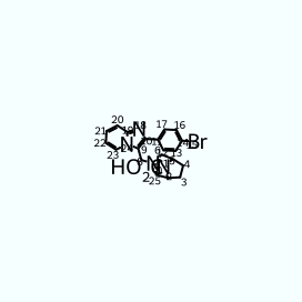 O=C(O)N1C2CCC1CN(Cc1c(-c3ccc(Br)cc3)nc3ccccn13)C2